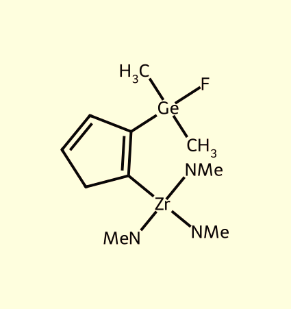 C[NH][Zr]([NH]C)([NH]C)[C]1=[C]([Ge]([CH3])([CH3])[F])C=CC1